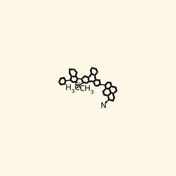 C[Si]1(C)c2cc3c4ccc(-c5ccc6ccc7ccc(C#N)c8ccc5c6c78)cc4c4ccccc4c3cc2-c2c1cc(-c1ccccc1)c1ccccc21